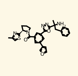 Cc1csc([C@H]2CCCN2C(=O)c2cc(-c3ccoc3)cc(-c3nnc(C(C)(N)Cc4ccccc4)o3)c2)n1